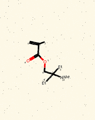 C=C(C)C(=O)OCC(CC)(CC)NC